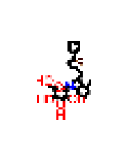 Cc1cccc2c1c(Cc1ccc(-c3ccccc3)s1)cn2[C@@H]1O[C@H](CO)[C@@H](O)[C@H](O)[C@H]1O